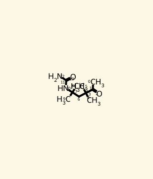 CC(=O)C(C)(C)CC(C)(C)NC(N)=O